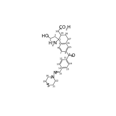 NC1(CCO)c2ccc(C(=O)c3ccc(C=NN4CCSCC4)cc3)cc2CCC1CC(=O)O